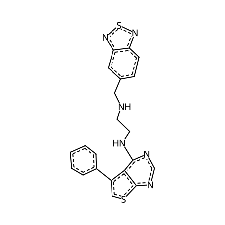 c1ccc(-c2csc3ncnc(NCCNCc4ccc5nsnc5c4)c23)cc1